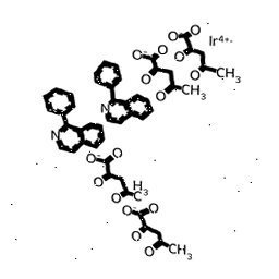 CC(=O)CC(=O)C(=O)[O-].CC(=O)CC(=O)C(=O)[O-].CC(=O)CC(=O)C(=O)[O-].CC(=O)CC(=O)C(=O)[O-].[Ir+4].c1ccc(-c2nccc3ccccc23)cc1.c1ccc(-c2nccc3ccccc23)cc1